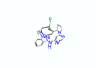 Fc1ccc(C2CCCN2c2cc(Nc3n[nH]c4ccccc34)ncn2)c(F)c1